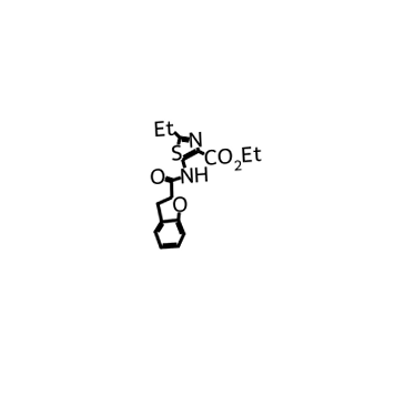 CCOC(=O)c1nc(CC)sc1NC(=O)C1Cc2ccccc2O1